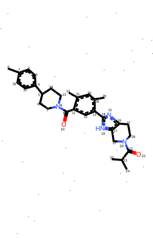 Cc1ccc(C2CCN(C(=O)c3cc(-c4nc5c([nH]4)CN(C(=O)C(C)C)CC5)c(C)cc3C)CC2)cc1